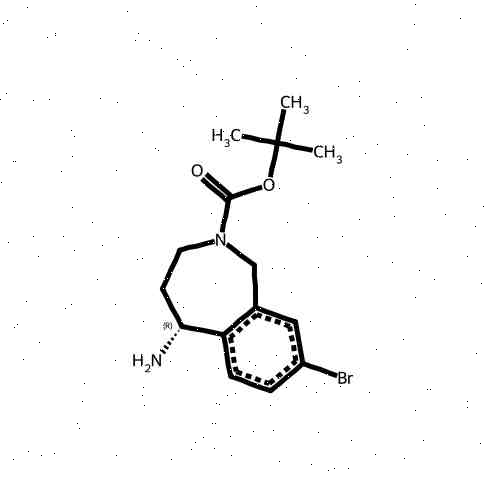 CC(C)(C)OC(=O)N1CC[C@@H](N)c2ccc(Br)cc2C1